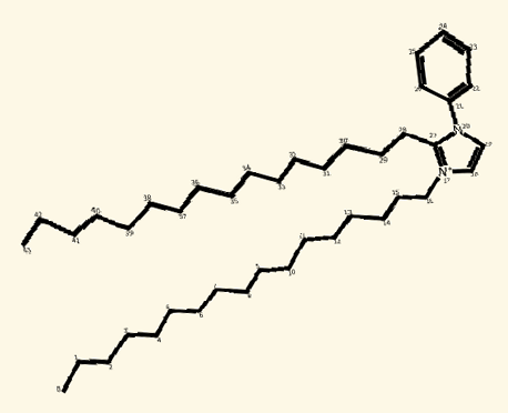 CCCCCCCCCCCCCCCCC[n+]1ccn(-c2ccccc2)c1CCCCCCCCCCCCCCCC